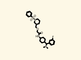 CN(C)C(c1cccc(F)c1)C1CCC(NC(=O)COCC2CCCN(S(=O)(=O)c3ccccc3)C2)CC1